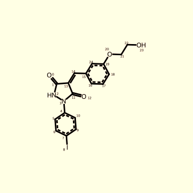 O=C1NN(c2ccc(I)cc2)C(=O)C1=Cc1cccc(OCCO)c1